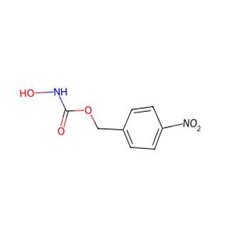 O=C(NO)OCc1ccc([N+](=O)[O-])cc1